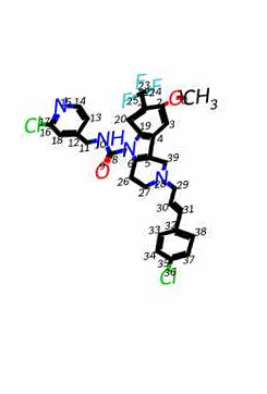 COc1cc2c3c(n(C(=O)NCc4ccnc(Cl)c4)c2cc1C(F)(F)F)CCN(CC=Cc1ccc(Cl)cc1)C3